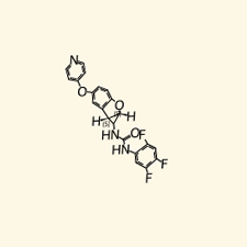 O=C(Nc1cc(F)c(F)cc1F)NC1[C@H]2Oc3ccc(Oc4ccncc4)cc3[C@@H]12